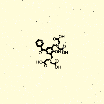 O=C(O)CN(CC(=O)O)Cc1cc(C(=O)c2ccccc2)cc(CN(CC(=O)O)CC(=O)O)c1O